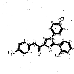 O=C(Nc1ccc(C(F)(F)F)cn1)c1cn(-c2ccc(Cl)cc2)c(-c2ccccc2Cl)n1